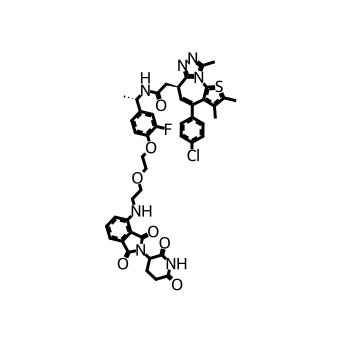 Cc1sc2c(c1C)C(c1ccc(Cl)cc1)=C[C@@H](CC(=O)N[C@@H](C)c1ccc(OCCOCCNc3cccc4c3C(=O)N(C3CCC(=O)NC3=O)C4=O)c(F)c1)c1nnc(C)n1-2